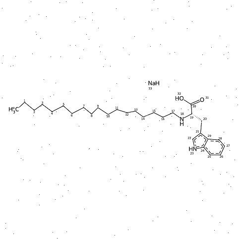 CCCCCCCCCCCCCCCCCCN[C@@H](Cc1c[nH]c2ccccc12)C(=O)O.[NaH]